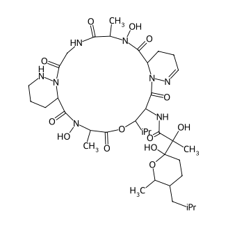 CC(C)CC1CCC(O)(C(C)(O)C(=O)NC2C(=O)N3N=CCCC3C(=O)N(O)C(C)C(=O)NCC(=O)N3NCCCC3C(=O)N(O)C(C)C(=O)OC2C(C)C)OC1C